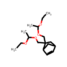 CCOC(C)OCC1(COC(C)OCC)CC2C=CC1C2